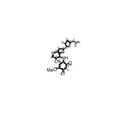 COc1cc(Nc2c(C#N)cnc3cc(-c4ccc(CN(C)C)s4)sc23)c(Cl)cc1Cl